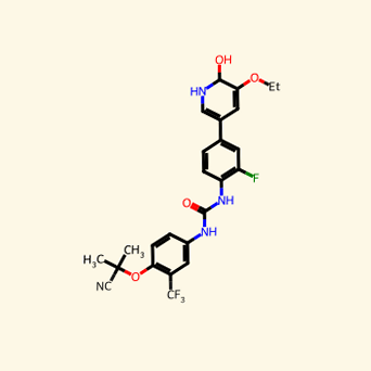 CCOC1=CC(c2ccc(NC(=O)Nc3ccc(OC(C)(C)C#N)c(C(F)(F)F)c3)c(F)c2)=CNC1O